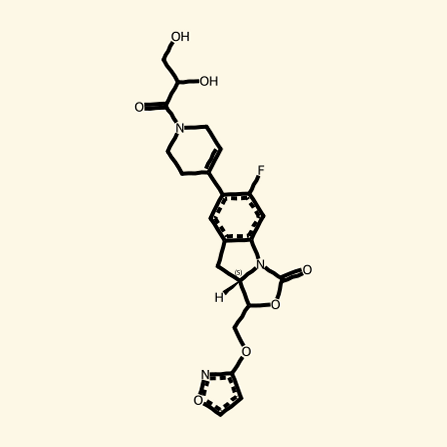 O=C(C(O)CO)N1CC=C(c2cc3c(cc2F)N2C(=O)OC(COc4ccon4)[C@@H]2C3)CC1